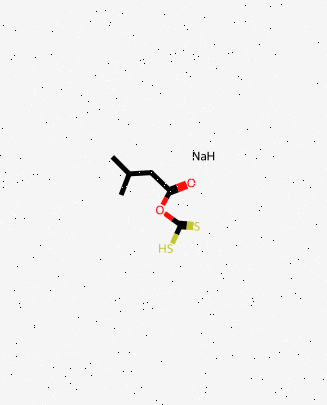 CC(C)CC(=O)OC(=S)S.[NaH]